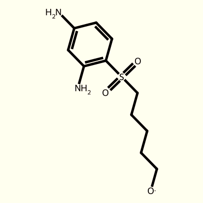 Nc1ccc(S(=O)(=O)CCCCC[O])c(N)c1